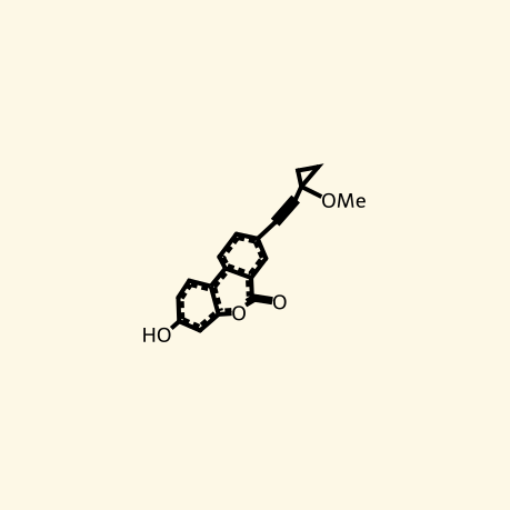 COC1(C#Cc2ccc3c(c2)c(=O)oc2cc(O)ccc23)CC1